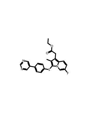 CCOC(=O)Cc1c(C)c(Sc2ccc(-c3cncnc3)cc2)n2cc(F)ccc12